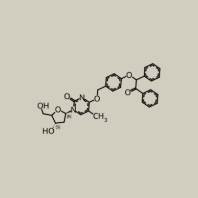 Cc1cn([C@H]2C[C@H](O)C(CO)O2)c(=O)nc1OCc1ccc(OC(C(=O)c2ccccc2)c2ccccc2)cc1